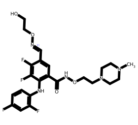 CN1CCN(CCONC(=O)c2cc(/C=N/OCCO)c(F)c(F)c2Nc2ccc(I)cc2F)CC1